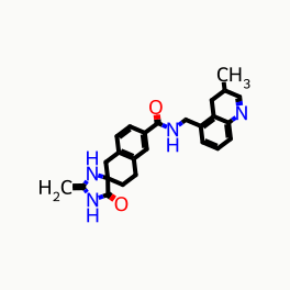 C=C1NC(=O)C2(CCc3cc(C(=O)NCc4cccc5c4CC(C)C=N5)ccc3C2)N1